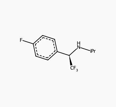 CC(C)N[C@H](c1ccc(F)cc1)C(F)(F)F